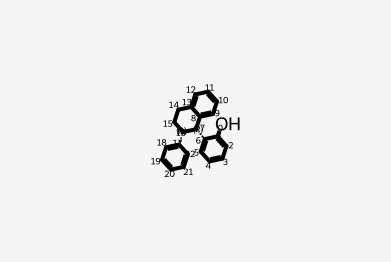 Oc1ccccc1[C@H]1c2ccccc2CC[C@H]1c1ccccc1